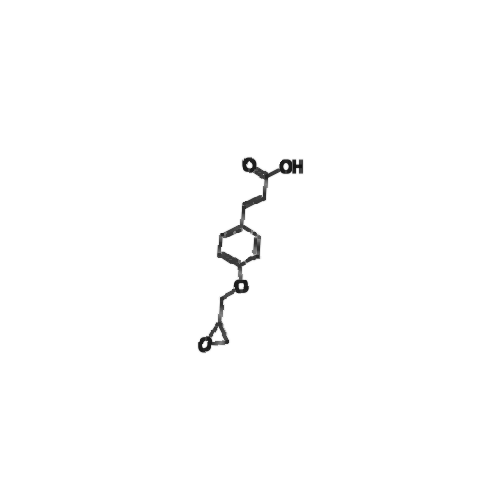 O=C(O)C=Cc1ccc(OCC2CO2)cc1